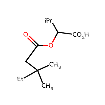 CCC(C)(C)CC(=O)OC(C(=O)O)C(C)C